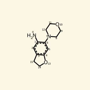 Nc1cc2c(cc1N1CCOCC1)OCC2